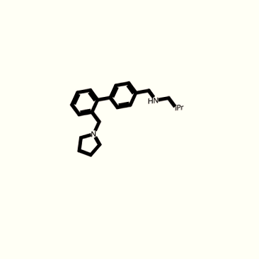 CC(C)CNCc1ccc(-c2ccccc2CN2CCCC2)cc1